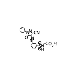 N#CC1=NN(c2ccccc2)C(=O)C1N=Nc1cccc(S(=O)(=O)NCC(=O)O)c1